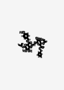 CC(C)O[C@@H]1OC(C(=O)OCc2ccc(O)cc2)[C@@H](OCCO[C@@H]2OC(C(=O)OCc3ccccc3)[C@@H](OC(C)C)[C@H](O)[C@@H]2O)[C@H](O)[C@@H]1O